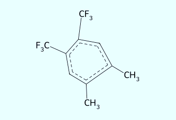 Cc1cc(C(F)(F)F)c(C(F)(F)F)cc1C